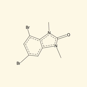 Cn1c(=O)n(C)c2c(Br)cc(Br)cc21